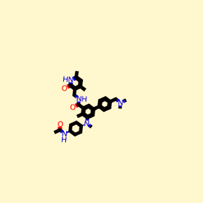 CC(=O)N[C@H]1CC[C@H](N(C)c2cc(-c3ccc(CN(C)C)cc3)cc(C(=O)NCc3c(C)cc(C)[nH]c3=O)c2C)CC1